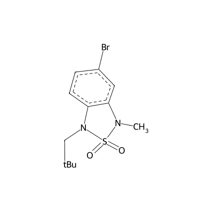 CN1c2cc(Br)ccc2N(CC(C)(C)C)S1(=O)=O